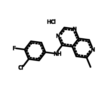 Cc1cc2c(Nc3ccc(F)c(Cl)c3)ncnc2cn1.Cl